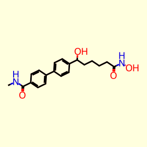 CNC(=O)c1ccc(-c2ccc(C(O)CCCCC(=O)NO)cc2)cc1